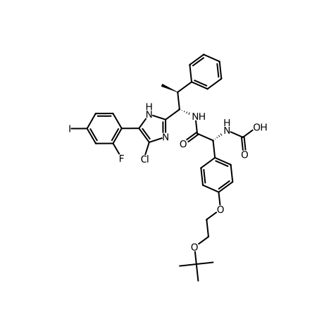 C[C@@H](c1ccccc1)[C@H](NC(=O)[C@H](NC(=O)O)c1ccc(OCCOC(C)(C)C)cc1)c1nc(Cl)c(-c2ccc(I)cc2F)[nH]1